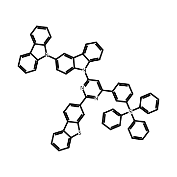 c1ccc([Si](c2ccccc2)(c2ccccc2)c2cccc(-c3cc(-n4c5ccccc5c5cc(-n6c7ccccc7c7ccccc76)ccc54)nc(-c4ccc5c(c4)sc4ccccc45)n3)c2)cc1